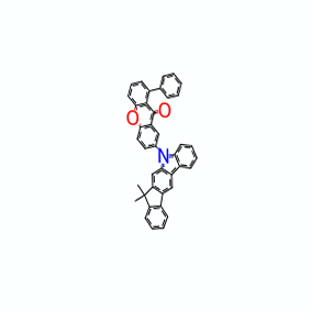 CC1(C)c2ccccc2-c2cc3c4ccccc4n(-c4ccc5oc6cccc(-c7ccccc7)c6c(=O)c5c4)c3cc21